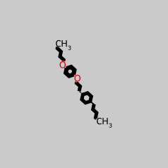 CCCCCOc1ccc(OCCC[C@H]2CC[C@H](CCCCC)CC2)cc1